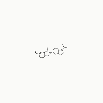 C=C1c2cc(CC)ccc2CN1c1ccc2c(ccn2C(C)C)c1